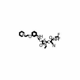 CCn1c(=C=C(C#N)C(=O)NCC(F)F)sc(=C=CNc2cccc(OCCN3CCCCC3)c2)c1=O